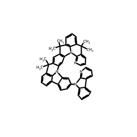 CC1(C)c2cc3c(cc2N2c4ncccc4C(C)(C)c4cccc1c42)-n1c2cc(-n4c5ccccc5c5cccnc54)ccc2c2cccc(c21)C3(C)C